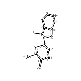 Cn1c(-c2cc(N)c(=O)[nH]n2)nc2cnccc21